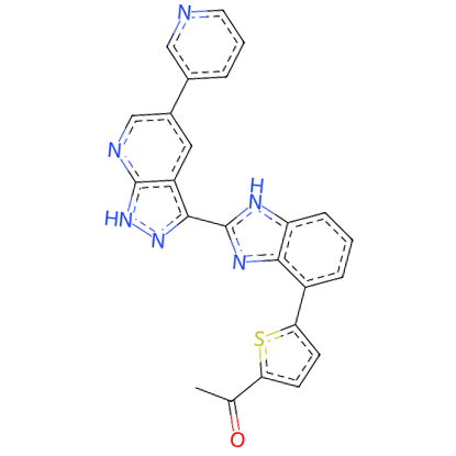 CC(=O)c1ccc(-c2cccc3[nH]c(-c4n[nH]c5ncc(-c6cccnc6)cc45)nc23)s1